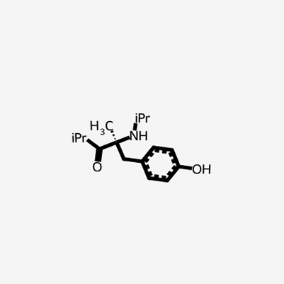 CC(C)N[C@@](C)(Cc1ccc(O)cc1)C(=O)C(C)C